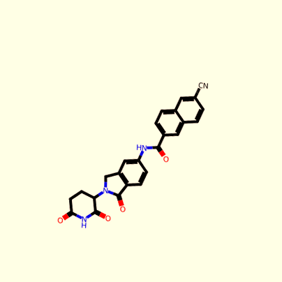 N#Cc1ccc2cc(C(=O)Nc3ccc4c(c3)CN(C3CCC(=O)NC3=O)C4=O)ccc2c1